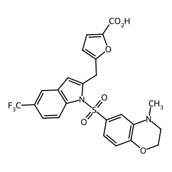 CN1CCOc2ccc(S(=O)(=O)n3c(Cc4ccc(C(=O)O)o4)cc4cc(C(F)(F)F)ccc43)cc21